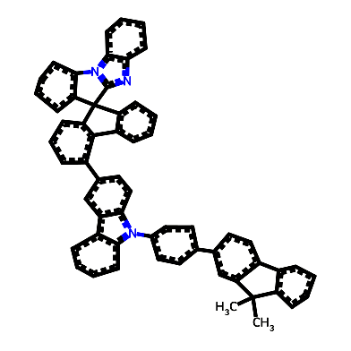 CC1(C)c2ccccc2-c2ccc(-c3ccc(-n4c5ccccc5c5cc(-c6cccc7c6-c6ccccc6C76c7ccccc7-n7c6nc6ccccc67)ccc54)cc3)cc21